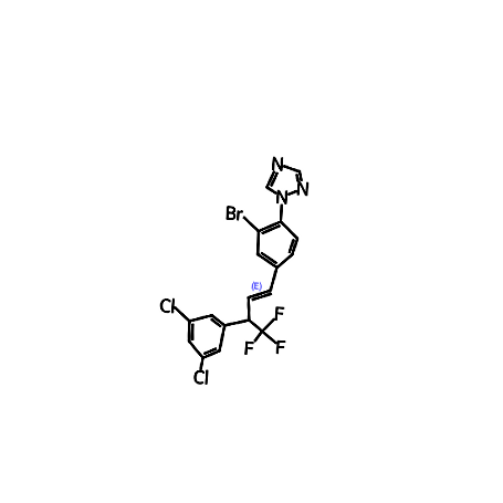 FC(F)(F)C(/C=C/c1ccc(-n2cncn2)c(Br)c1)c1cc(Cl)cc(Cl)c1